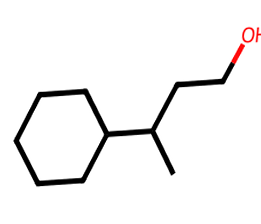 CC(CCO)C1CCCCC1